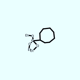 CCO[Si](OCC)(OCC)C1CCCCCCC1